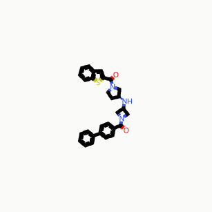 O=C(c1ccc(-c2ccccc2)cc1)N1CC(N[C@H]2CCN(C(=O)c3cc4ccccc4s3)C2)C1